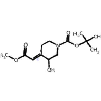 COC(=O)/C=C1\CCN(C(=O)OC(C)(C)C)CC1O